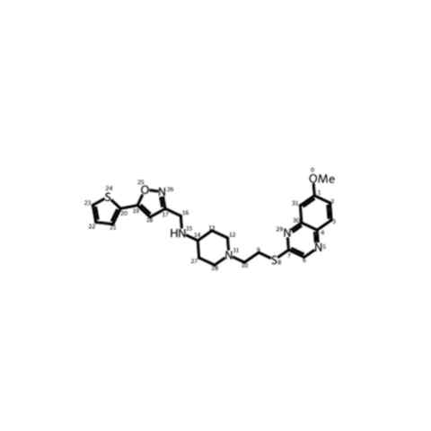 COc1ccc2ncc(SCCN3CCC(NCc4cc(-c5cccs5)on4)CC3)nc2c1